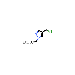 CCOC(=O)Cn1cc(CCl)cn1